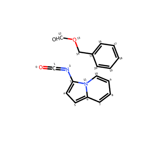 O=C=Nc1ccc2ccccn12.O=COCc1ccccc1